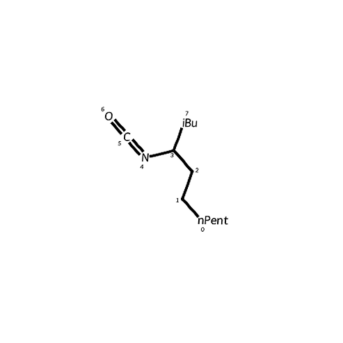 CCCCCCCC(N=C=O)C(C)CC